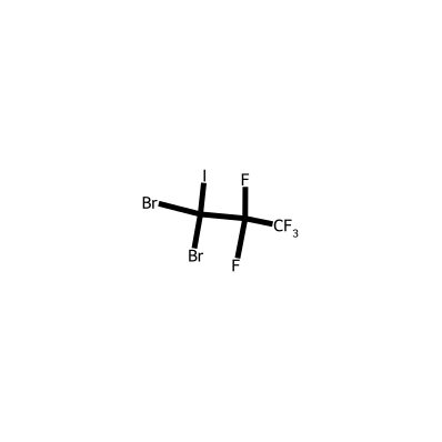 FC(F)(F)C(F)(F)C(Br)(Br)I